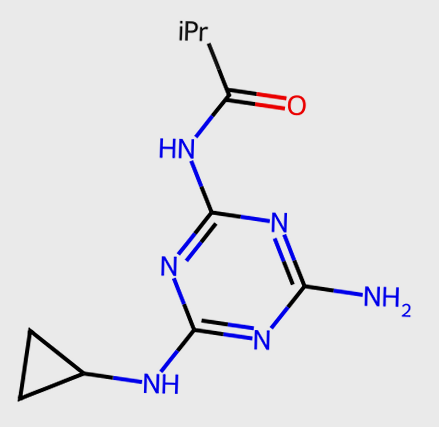 CC(C)C(=O)Nc1nc(N)nc(NC2CC2)n1